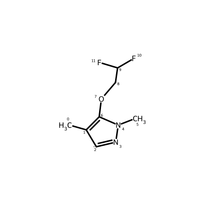 Cc1[c]nn(C)c1OCC(F)F